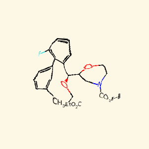 CCOC(=O)CO[C@@H](c1cccc(F)c1-c1cccc(C)c1)C1CN(C(=O)O)CCO1